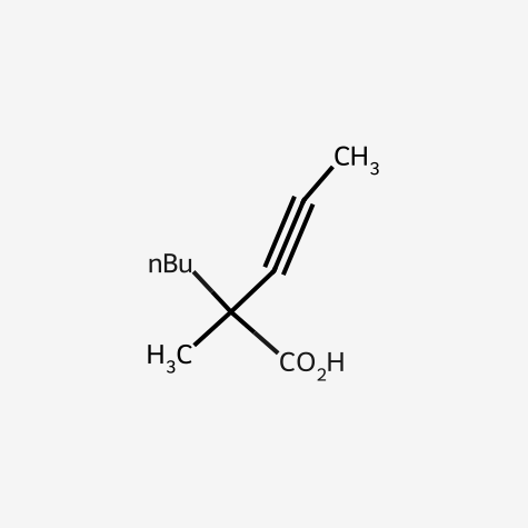 CC#CC(C)(CCCC)C(=O)O